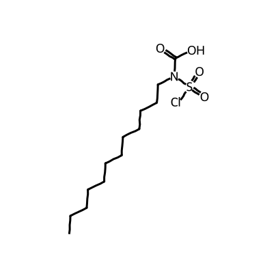 CCCCCCCCCCCCN(C(=O)O)S(=O)(=O)Cl